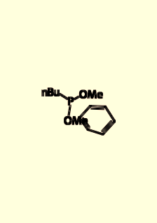 CCCCP(OC)OC.c1ccccc1